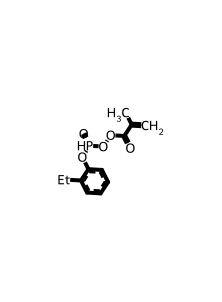 C=C(C)C(=O)OO[PH](=O)Oc1ccccc1CC